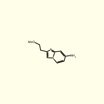 COCCc1cn2ccc(N)cc2n1